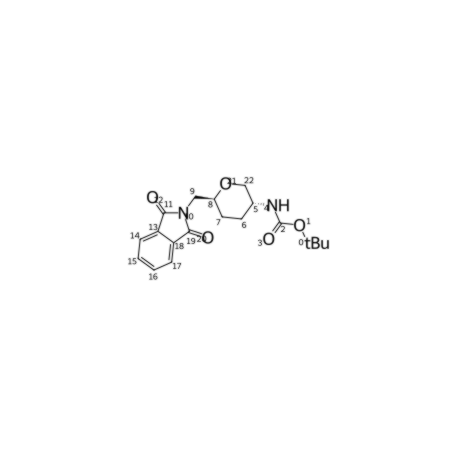 CC(C)(C)OC(=O)N[C@@H]1CC[C@@H](CN2C(=O)c3ccccc3C2=O)OC1